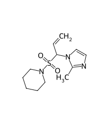 C=CC(n1ccnc1C)S(=O)(=O)N1CCCCC1